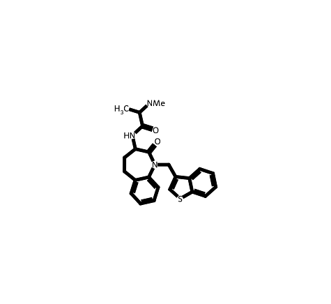 CNC(C)C(=O)NC1CCc2ccccc2N(Cc2csc3ccccc23)C1=O